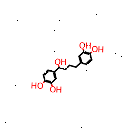 Oc1ccc(CCCC(O)c2ccc(O)c(O)c2)cc1O